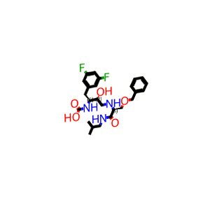 CC(C)CNC(=O)[C@H](COCc1ccccc1)NC[C@@H](O)[C@H](Cc1cc(F)cc(F)c1)NC(=O)O